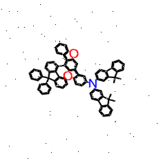 CC1(C)c2ccccc2-c2ccc(N(c3ccc4c(c3)C(C)(C)c3ccccc3-4)c3ccc4oc5c(-c6cccc7c6-c6ccccc6C7(c6ccccc6)c6ccccc6)c6c(cc5c4c3)oc3ccccc36)cc21